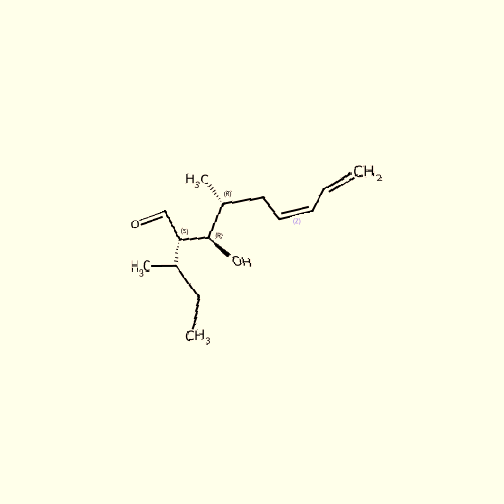 C=C/C=C\C[C@@H](C)[C@@H](O)[C@@H](C=O)C(C)CC